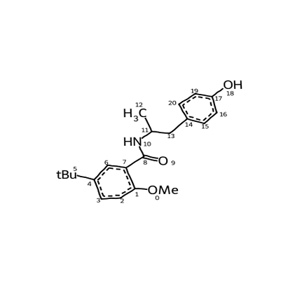 COc1ccc(C(C)(C)C)cc1C(=O)NC(C)Cc1ccc(O)cc1